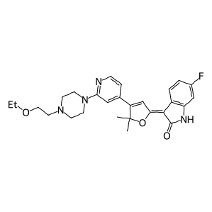 CCOCCN1CCN(c2cc(C3=CC(=C4C(=O)Nc5cc(F)ccc54)OC3(C)C)ccn2)CC1